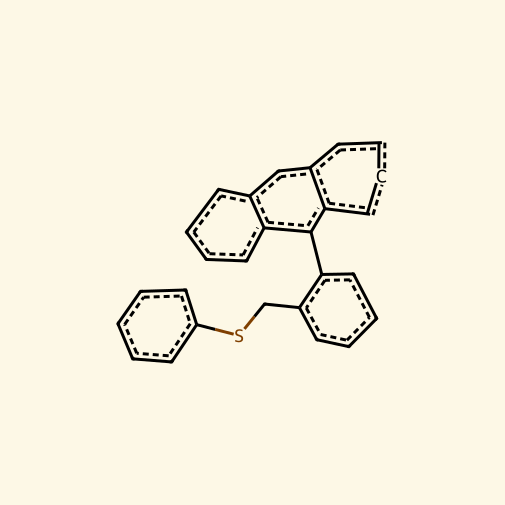 c1ccc(SCc2ccccc2-c2c3ccccc3cc3ccccc23)cc1